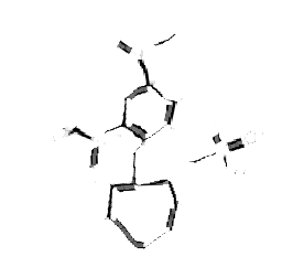 O=S(=O)(O)Cl.O=[N+]([O-])c1ccc(-c2ccccc2)c([N+](=O)[O-])c1